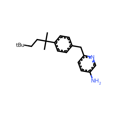 CC(C)(C)CCC(C)(C)c1ccc(Cc2ccc(N)cn2)cc1